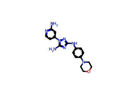 Nc1cc(-n2nc(Nc3ccc(N4CCOCC4)cc3)nc2N)ccn1